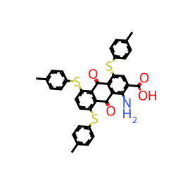 Cc1ccc(Sc2ccc(Sc3ccc(C)cc3)c3c2C(=O)c2c(Sc4ccc(C)cc4)cc(C(=O)O)c(N)c2C3=O)cc1